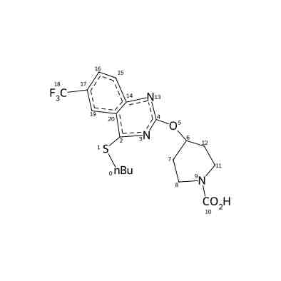 CCCCSc1nc(OC2CCN(C(=O)O)CC2)nc2ccc(C(F)(F)F)cc12